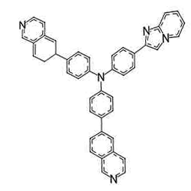 C1=c2ccncc2=CCC1c1ccc(N(c2ccc(-c3ccc4cnccc4c3)cc2)c2ccc(-c3cn4ccccc4n3)cc2)cc1